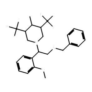 COc1ccccc1C(CNCc1ccccc1)N1CC(C(F)(F)F)C(C)C(C(F)(F)F)C1